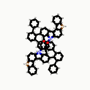 c1ccc(-c2cccc(-c3ccccc3)c2-c2ccc3c4c5c(ccc4n4c6cc7c8c(-c9c(-c%10ccccc%10)cccc9-c9ccccc9)ccc9c%10c%11c(ccc%10n(c7cc6c2c34)c98)sc2ccccc2%11)sc2ccccc25)cc1